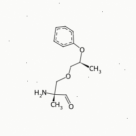 C[C@@H](COC[C@@](C)(N)C=O)Oc1ccccc1